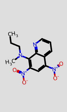 CCCN(C)c1c([N+](=O)[O-])cc([N+](=O)[O-])c2cccnc12